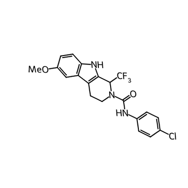 COc1ccc2[nH]c3c(c2c1)CCN(C(=O)Nc1ccc(Cl)cc1)C3C(F)(F)F